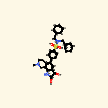 CN1CCc2c(-c3ccc(S(=O)(=O)N(Cc4ccccc4)Cc4ccccc4)cc3)cc3c(c2C1)NC(=O)C3=O